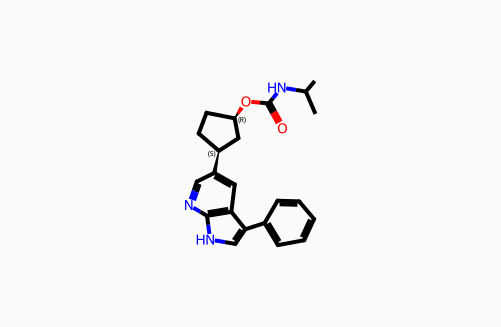 CC(C)NC(=O)O[C@@H]1CC[C@H](c2cnc3[nH]cc(-c4ccccc4)c3c2)C1